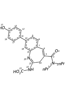 CCCN(CCC)C(=O)C1=Cc2ccc(-c3ccc(O)cc3)cc2N=C(NC(=O)O)C1